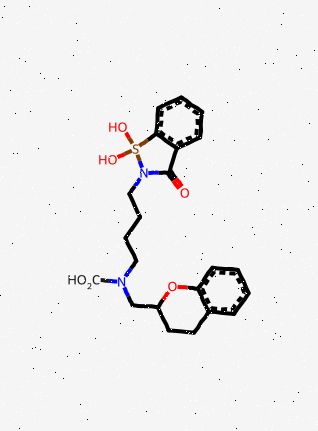 O=C(O)N(CCCCN1C(=O)c2ccccc2S1(O)O)CC1CCc2ccccc2O1